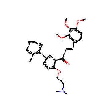 COc1ccc(/C=C/C(=O)c2cc(-c3ccccc3C)ccc2OCCN(C)C)c(OC)c1OC